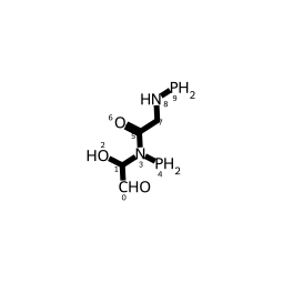 O=CC(O)N(P)C(=O)CNP